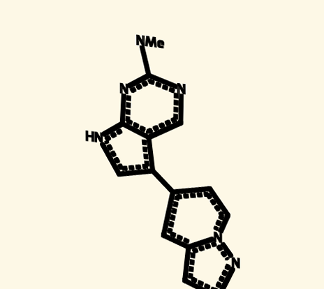 CNc1ncc2c(-c3ccn4nccc4c3)c[nH]c2n1